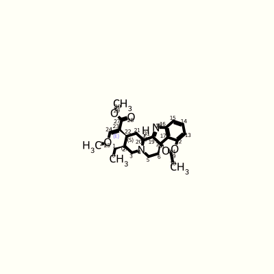 CC[C@@H]1CN2CC[C@]34OC(C)Oc5cccc(c53)N=C4[C@@H]2C[C@@H]1/C(=C\OC)C(=O)OC